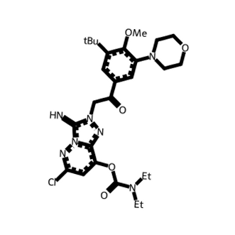 CCN(CC)C(=O)Oc1cc(Cl)nn2c(=N)n(CC(=O)c3cc(N4CCOCC4)c(OC)c(C(C)(C)C)c3)nc12